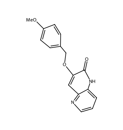 COc1ccc(COc2cc3ncccc3[nH]c2=O)cc1